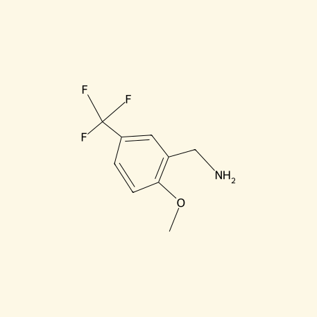 COc1ccc(C(F)(F)F)cc1CN